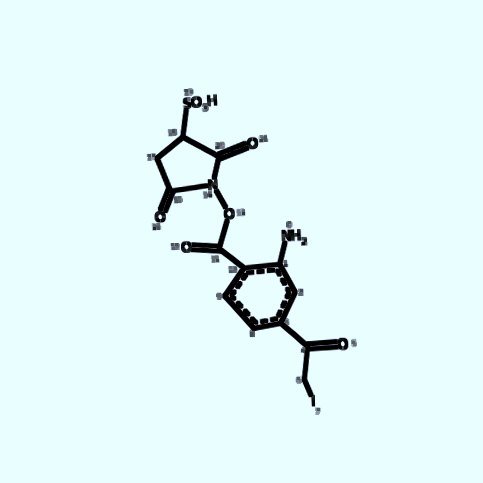 Nc1cc(C(=O)CI)ccc1C(=O)ON1C(=O)CC(S(=O)(=O)O)C1=O